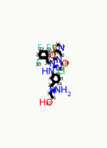 NN(/C=C1/C=C(Nc2nc(=O)n(Cc3cscn3)c(=O)n2Cc2cc(F)c(F)cc2F)C(Cl)=CC1)CCO